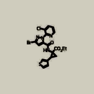 CCOC(=O)C1(NC(=O)c2cc(Br)nn2-c2ncccc2Cl)CC1c1ccsc1